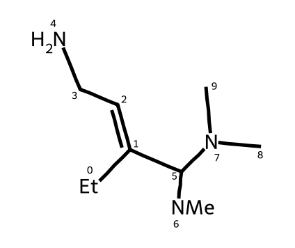 CC/C(=C\CN)C(NC)N(C)C